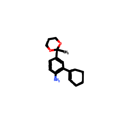 CC1(c2ccc(N)c(C3=CCCCC3)c2)OCCCO1